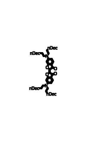 CCCCCCCCCCCCN(CCCCCCCCCCCC)c1ccc2c(c1)OC(=C1Oc3cc(N(CCCCCCCCCCCC)CCCCCCCCCCCC)ccc3C1=O)C2=O